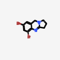 Brc1cc(Br)c2c(c1)CN1CCCC1=N2